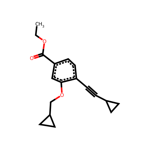 CCOC(=O)c1ccc(C#CC2CC2)c(OCC2CC2)c1